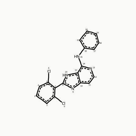 Clc1cccc(Cl)c1-c1nc2ccnc(Nc3ccccc3)c2[nH]1